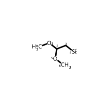 COC(C[Si])OC